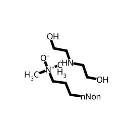 CCCCCCCCCCCC[N+](C)(C)[O-].OCCNCCO